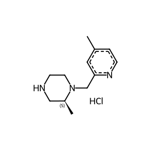 Cc1ccnc(CN2CCNC[C@@H]2C)c1.Cl